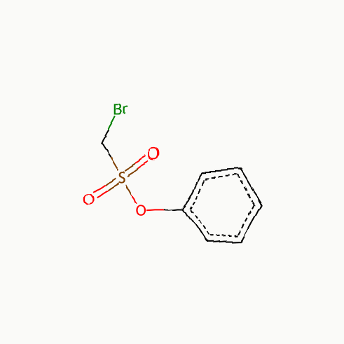 O=S(=O)(CBr)Oc1ccccc1